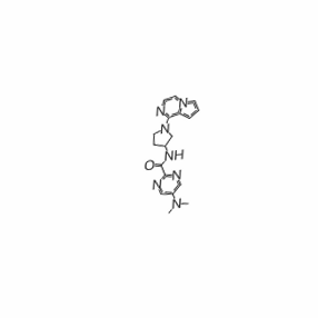 CN(C)c1cnc(C(=O)NC2CCN(c3nccn4cccc34)C2)nc1